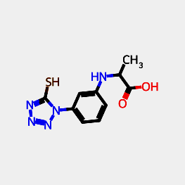 CC(Nc1cccc(-n2nnnc2S)c1)C(=O)O